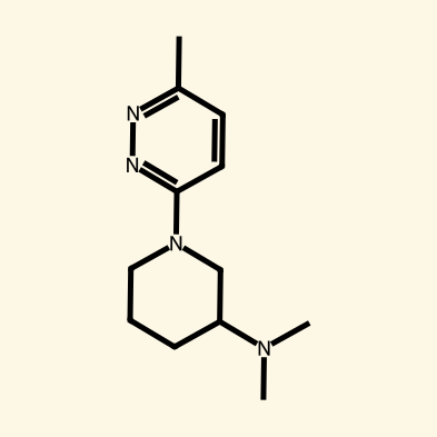 Cc1ccc(N2CCCC(N(C)C)C2)nn1